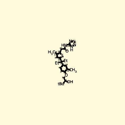 CCC(CC)(c1ccc(OCC(O)C(C)(C)C)c(C)c1)c1cc(C)c(CC(=O)Nc2nnn[nH]2)s1